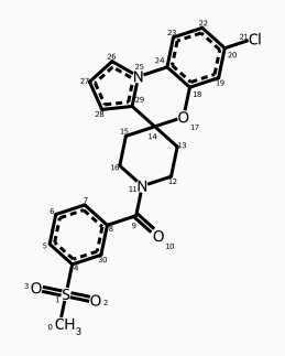 CS(=O)(=O)c1cccc(C(=O)N2CCC3(CC2)Oc2cc(Cl)ccc2-n2cccc23)c1